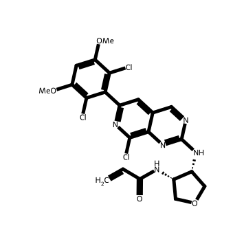 C=CC(=O)N[C@H]1COC[C@H]1Nc1ncc2cc(-c3c(Cl)c(OC)cc(OC)c3Cl)nc(Cl)c2n1